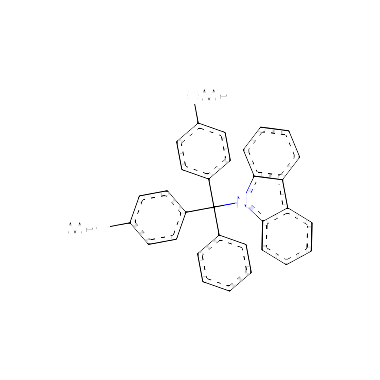 COc1ccc(C(c2ccccc2)(c2ccc(OC)cc2)n2c3ccccc3c3ccccc32)cc1